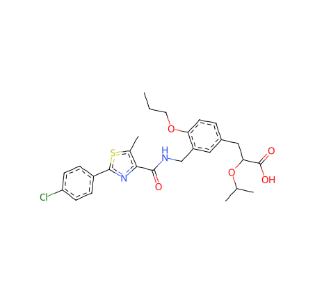 CCCOc1ccc(CC(OC(C)C)C(=O)O)cc1CNC(=O)c1nc(-c2ccc(Cl)cc2)sc1C